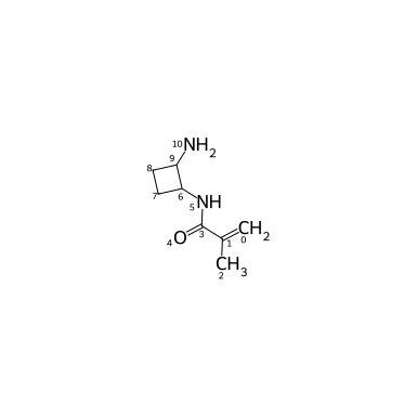 C=C(C)C(=O)NC1CCC1N